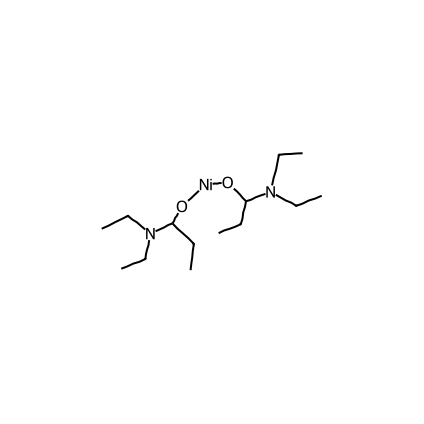 CCC([O][Ni][O]C(CC)N(CC)CC)N(CC)CC